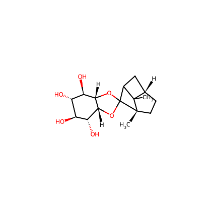 CC12C3C[C@@H]1CC[C@]2(C)C31O[C@@H]2[C@H](O)[C@@H](O)[C@H](O)[C@@H](O)[C@@H]2O1